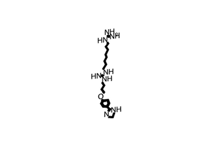 N=C(N)NCCCCCCCCNC(=N)NCCCCOc1ccc(C2=NCCCN2)cc1